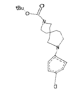 CC(C)(C)OC(=O)N1CC2(CCN(c3ccc(Cl)cc3)C2)C1